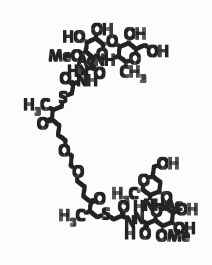 CO[C@@H]1C(C(=O)NNC(=O)CSCC(C)C(=O)CCCOCCOCCCC(=O)C(C)CSCC(=O)NNC(=O)C2O[C@@H](O[C@@H]3C(NC(C)=O)[C@H](C)OC(CO)[C@H]3O)C(O)[C@@H](O)[C@@H]2OC)O[C@@H](O[C@H]2CC(CO)O[C@@H](C)C2NC(C)=O)C(O)[C@H]1O